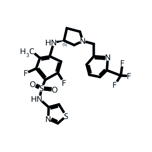 Cc1c(N[C@H]2CCN(Cc3cccc(C(F)(F)F)n3)C2)cc(F)c(S(=O)(=O)Nc2cscn2)c1F